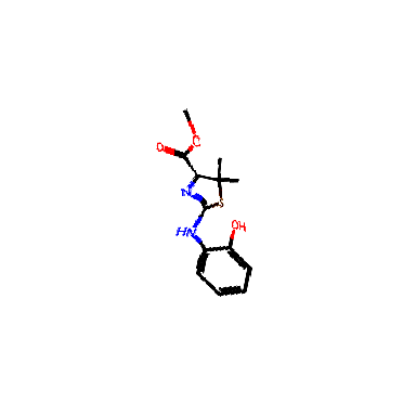 COC(=O)[C@@H]1N=C(Nc2ccccc2O)SC1(C)C